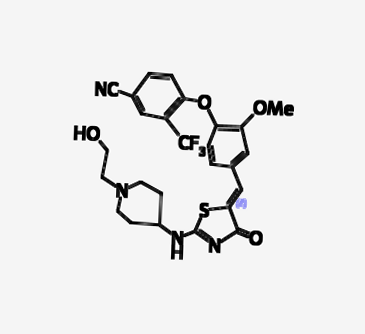 COc1cc(/C=C2\SC(NC3CCN(CCO)CC3)=NC2=O)ccc1Oc1ccc(C#N)cc1C(F)(F)F